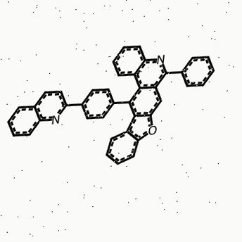 c1ccc(-c2nc3ccccc3c3c(-c4ccc(-c5ccc6ccccc6n5)cc4)c4c(cc23)oc2ccccc24)cc1